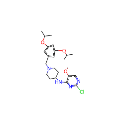 COc1cnc(Cl)nc1NC1CCN(Cc2cc(OC(C)C)cc(OC(C)C)c2)CC1